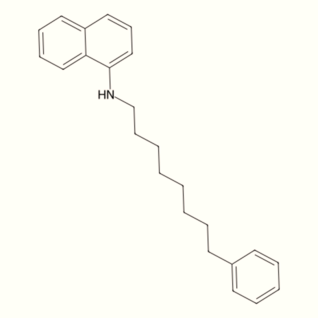 c1ccc(CCCCCCCCNc2cccc3ccccc23)cc1